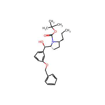 CCC[C@H]1CC[C@H]([C@H](O)c2cccc(OCc3ccccc3)c2)N1C(=O)OC(C)(C)C